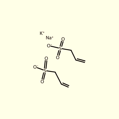 C=CCS(=O)(=O)[O-].C=CCS(=O)(=O)[O-].[K+].[Na+]